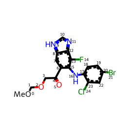 COCOCC(=O)c1cc2[nH]cnc2c(F)c1Nc1ccc(Br)cc1Cl